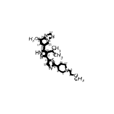 COCCN1CCC(c2ncc(-c3n[nH]c(-c4cc(C)c5ncnn5c4)c3C(C)C)s2)CC1